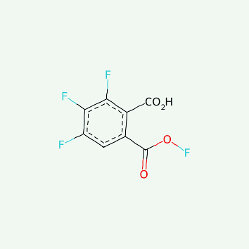 O=C(OF)c1cc(F)c(F)c(F)c1C(=O)O